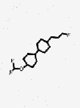 FCCCC1CCC(C2CCC(OC(F)F)CC2)CC1